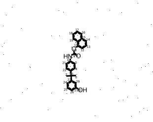 CC(C)(c1ccc(NC(=O)Oc2cccc3ccccc23)cc1)c1cccc(O)c1